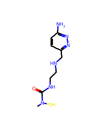 CN(S)C(=O)NCCNCc1ccc(N)nn1